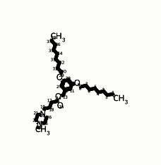 CCCCCCCCCOc1cc(COC(=O)CCCN2CCN(C)CC2)cc(OCCCCCCCCC)c1